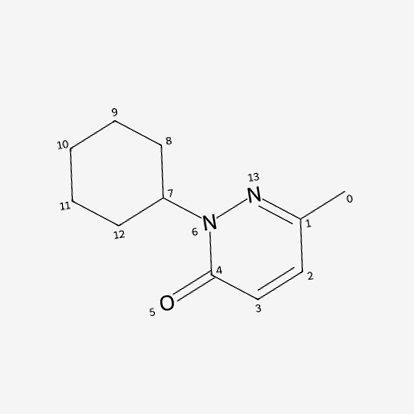 Cc1ccc(=O)n(C2CCCCC2)n1